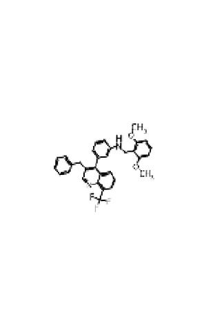 COc1cccc(OC)c1CNc1cccc(-c2c(Cc3ccccc3)cnc3c(C(F)(F)F)cccc23)c1